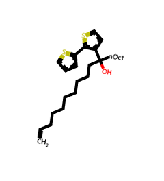 C=CCCCCCCCCC(O)(CCCCCCCC)c1ccsc1-c1cccs1